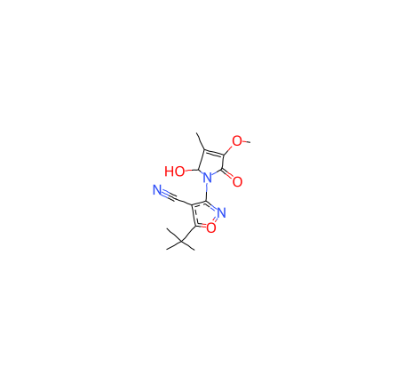 COC1=C(C)C(O)N(c2noc(C(C)(C)C)c2C#N)C1=O